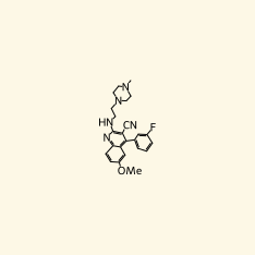 COc1ccc2nc(NCCN3CCN(C)CC3)c(C#N)c(-c3cccc(F)c3)c2c1